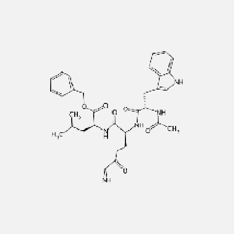 CC(=O)N[C@@H](Cc1c[nH]c2ccccc12)C(=O)N[C@@H](CCC(=O)C=N)C(=O)N[C@@H](CC(C)C)C(=O)OCc1ccccc1